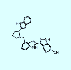 N#Cc1ccc2c(-c3cc4c(CN5CCCC5c5cc6ccccc6[nH]5)cccc4[nH]3)n[nH]c2c1